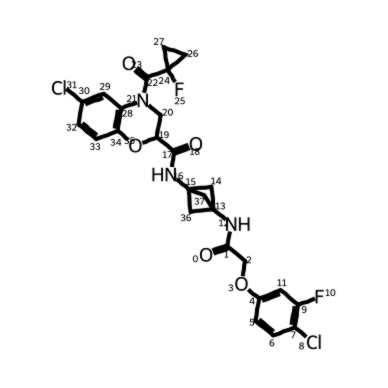 O=C(COc1ccc(Cl)c(F)c1)NC12CC(NC(=O)C3CN(C(=O)C4(F)CC4)c4cc(Cl)ccc4O3)(C1)C2